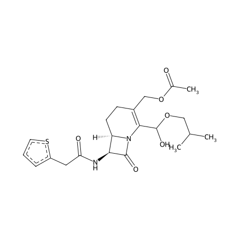 CC(=O)OCC1=C(C(O)OCC(C)C)N2C(=O)[C@@H](NC(=O)Cc3cccs3)[C@H]2CC1